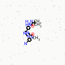 CC(C)[C@@H](N)C(=O)Nc1ccc(-c2cnc3cnc(C(=O)N(C)c4ccc(C#N)cc4)cn23)cc1